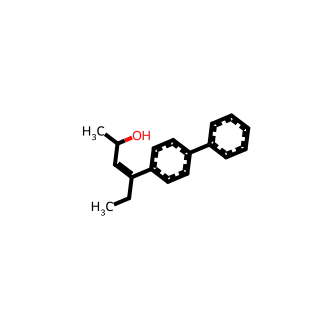 CC/C(=C/C(C)O)c1ccc(-c2ccccc2)cc1